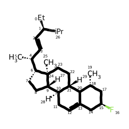 CC[C@H](/C=C/[C@@H](C)[C@H]1CC[C@H]2[C@@H]3CC=C4C[C@H](F)C[C@@H](C)C4[C@H]3CC[C@]12C)C(C)C